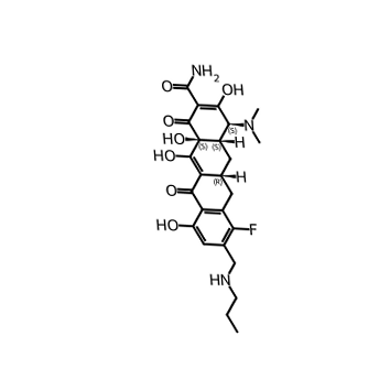 CCCNCc1cc(O)c2c(c1F)C[C@H]1C[C@H]3[C@H](N(C)C)C(O)=C(C(N)=O)C(=O)[C@@]3(O)C(O)=C1C2=O